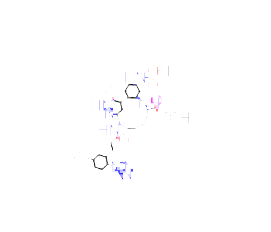 CCOC(=O)C1CCCCC(NC(=O)/C=C/c2cc(Cl)ccc2-n2cnnn2)c2cc(c(=O)[nH]n2)-c2ccc(NC(=O)OC)cc2N1